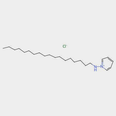 CCCCCCCCCCCCCCCCCCN[n+]1ccccc1.[Cl-]